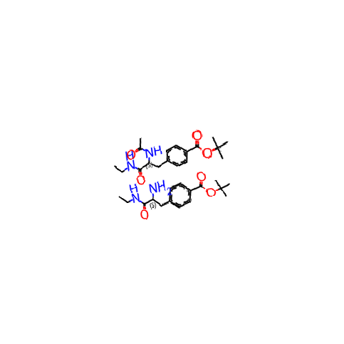 CCNC(=O)[C@@H](N)Cc1ccc(C(=O)OC(C)(C)C)cc1.CCNC(=O)[C@H](Cc1ccc(C(=O)OC(C)(C)C)cc1)NC(C)=O